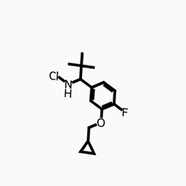 CC(C)(C)C(NCl)c1ccc(F)c(OCC2CC2)c1